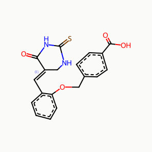 O=C1NC(=S)NC/C1=C\c1ccccc1OCc1ccc(C(=O)O)cc1